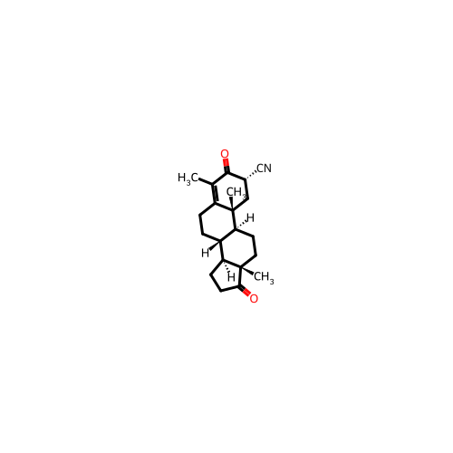 CC1=C2CC[C@@H]3[C@H](CC[C@]4(C)C(=O)CC[C@@H]34)[C@@]2(C)C[C@@H](C#N)C1=O